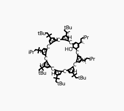 CC(C)C[C@H](C)C1=CC2CC3=CC([C@@H](C)CC(C)C)=CC(CC4C=C(C(C)(C)CC(C)(C)C)C=C(CC5C=C(C(C)(C)CC(C)(C)C)C=C(CC6=CC(C(C)(C)CC(C)(C)C)=CC(CC7C=C(C(C)(C)CC(C)C)C=C(CC8C=C(C(C)(C)CC(C)(C)C)C=C(CC9=CC([C@H](C)CC(C)(C)C)=CC(CC(=C1)C2O)C9O)C8O)C7O)C6O)C5O)C4O)C3O